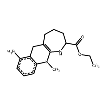 CCOC(=O)C1CCCC2=C(N1)N(C)c1cccc(N)c1C2